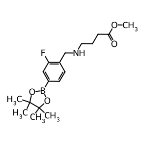 COC(=O)CCCNCc1ccc(B2OC(C)(C)C(C)(C)O2)cc1F